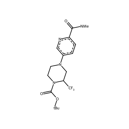 CNC(=O)c1ccc(N2CCN(C(=O)OC(C)(C)C)C(C(F)(F)F)C2)cn1